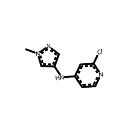 Cn1cc(Nc2ccnc(Cl)c2)cn1